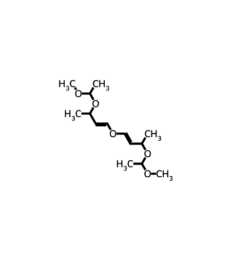 COC(C)OC(C)C=COC=CC(C)OC(C)OC